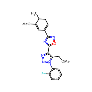 COCc1c(-c2nc(C3=CCC(C)C(OC)=C3)no2)nnn1-c1ccccc1F